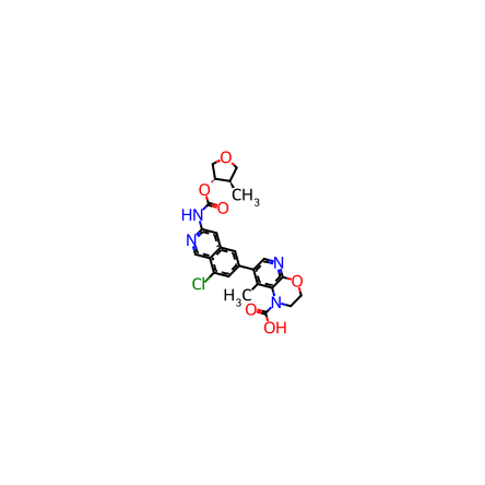 Cc1c(-c2cc(Cl)c3cnc(NC(=O)O[C@@H]4COC[C@H]4C)cc3c2)cnc2c1N(C(=O)O)CCO2